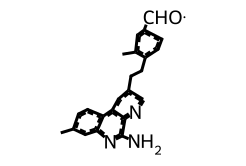 Cc1ccc2c(c1)nc(N)c1ncc(CCc3ccc([C]=O)cc3C)cc12